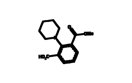 COC(=O)c1cccc(C(=O)O)c1N1CCCCC1